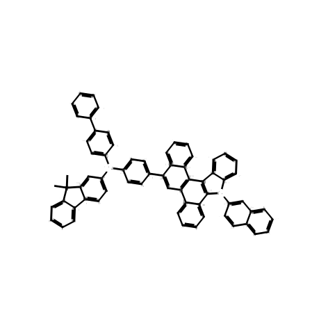 CC1(C)c2ccccc2-c2ccc(N(c3ccc(-c4ccccc4)cc3)c3ccc(-c4cc5c6ccccc6c6c(c7ccccc7n6-c6ccc7ccccc7c6)c5c5ccccc45)cc3)cc21